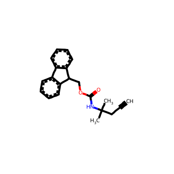 C#CCC(C)(C)NC(=O)OCC1c2ccccc2-c2ccccc21